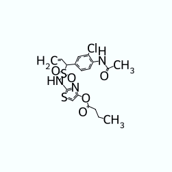 C=CC(c1ccc(NC(C)=O)c(Cl)c1)S(=O)(=O)Nc1nc(OC(=O)CCC)cs1